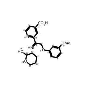 COc1cccc(OCC(=N)c2cc(C(=O)O)ccn2)c1.OC1CCCCO1